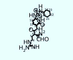 N=C(N)NCCC(C(=O)Cc1ccc(NS(=O)(=O)NC2CCCCC2)[nH]c1=O)[C@H](N)C=O